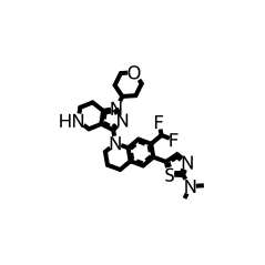 CN(C)c1ncc(-c2cc3c(cc2C(F)F)N(c2nn(C4CCOCC4)c4c2CNCC4)CCC3)s1